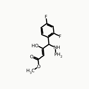 COC(=O)/C=C(\O)C(NP)c1ccc(F)cc1F